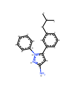 CC(C)Cc1cccc(-c2cc(N)nn2-c2ccccc2)c1